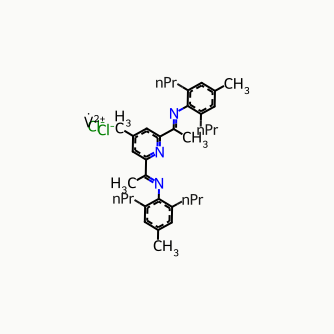 CCCc1cc(C)cc(CCC)c1N=C(C)c1cc(C)cc(C(C)=Nc2c(CCC)cc(C)cc2CCC)n1.[Cl-].[Cl-].[V+2]